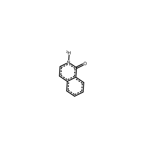 [2H]n1ccc2ccccc2c1=O